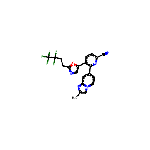 Cc1cn2ccc(-c3nc(C#N)ccc3-c3cnc(CCC(F)(F)C(F)(F)F)o3)cc2n1